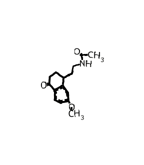 COc1ccc2c(c1)C(CCNC(C)=O)CCC2=O